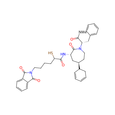 CNC(=O)[C@H](Cc1ccccc1)N1CC[C@@H](C2C=CC=CC2)C[C@H](NC(=O)C(S)CCCCN2C(=O)c3ccccc3C2=O)C1=O